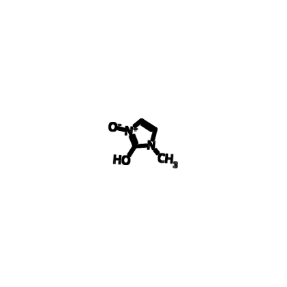 Cn1cc[n+]([O-])c1O